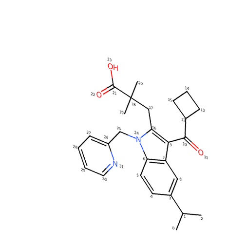 CC(C)c1ccc2c(c1)c(C(=O)C1CCC1)c(CC(C)(C)C(=O)O)n2Cc1ccccn1